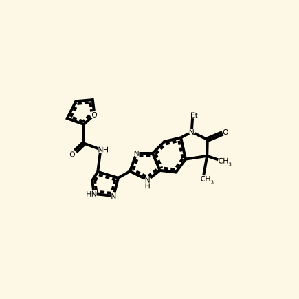 CCN1C(=O)C(C)(C)c2cc3[nH]c(-c4n[nH]cc4NC(=O)c4ccco4)nc3cc21